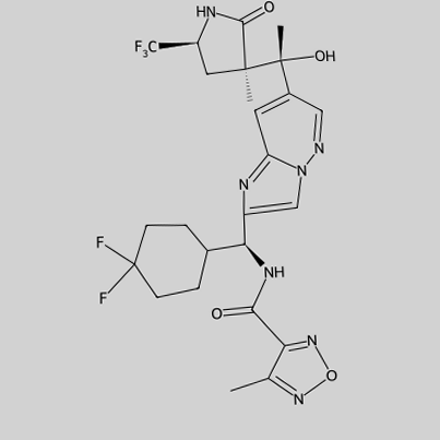 Cc1nonc1C(=O)N[C@H](c1cn2ncc([C@@](C)(O)[C@@]3(C)C[C@@H](C(F)(F)F)NC3=O)cc2n1)C1CCC(F)(F)CC1